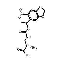 CC(OC(=O)NC[C@H](N)C(=O)O)c1cc2c(cc1[N+](=O)[O-])OCO2